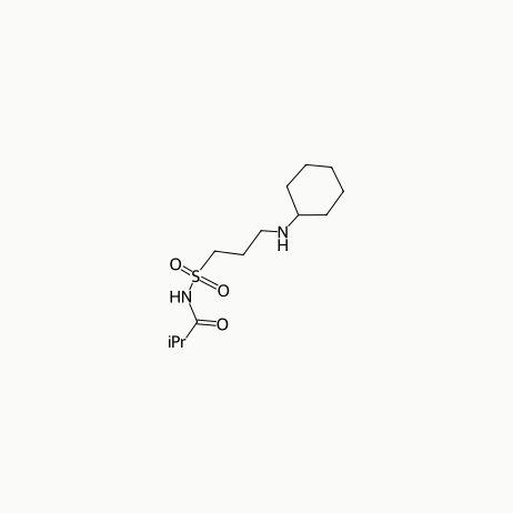 CC(C)C(=O)NS(=O)(=O)CCCNC1CCCCC1